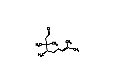 CC(C)=CCCC(C)C(C)(C)CC=O